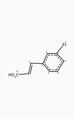 CCc1c[c]cc(/C=C/C(=O)O)c1